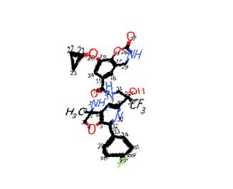 CC1(N)COc2c1cc(C(O)(CNC(=O)c1cc3c(c(OC4CC4)c1)OC(=O)NC3)C(F)(F)F)nc2-c1ccc(F)cc1